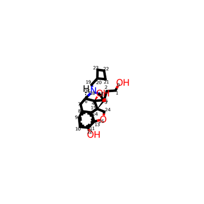 OCCC[C@@]1(O)[C@H]2Cc3ccc(O)c4c3[C@@]1(CCN2CC1CCC1)CO4